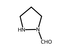 O=CN1CCCN1